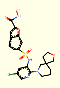 O=C(NO)c1cc2ccc(S(=O)(=O)Nc3cc(Cl)cnc3N3CCCC4(CCOC4)C3)cc2o1